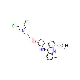 Cc1cccc2c(Nc3cccc(OCCCCN(CCCl)CCCl)c3)c3cccc(C(=O)O)c3nc12